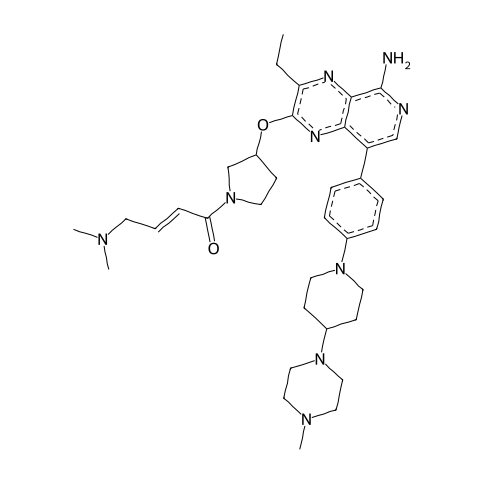 CCc1nc2c(N)ncc(-c3ccc(N4CCC(N5CCN(C)CC5)CC4)cc3)c2nc1OC1CCN(C(=O)/C=C/CN(C)C)C1